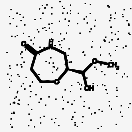 COC(O)[C@@H]1CNC(=O)CCO1